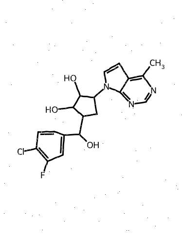 Cc1ncnc2c1ccn2C1CC(C(O)c2ccc(Cl)c(F)c2)C(O)C1O